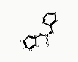 [O-]/[N+](=C/c1ccccc1)Cc1ccccc1